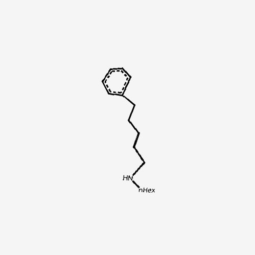 CCCCCCNCCCCCc1ccccc1